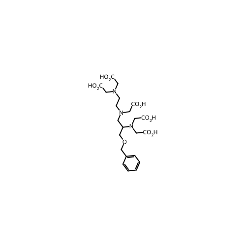 O=C(O)CN(CCN(CC(=O)O)CC(COCc1ccccc1)N(CC(=O)O)CC(=O)O)CC(=O)O